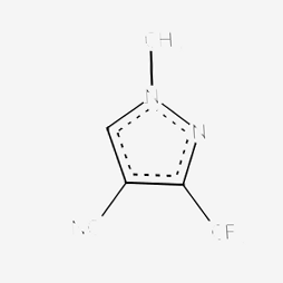 Cn1cc(C#N)c(C(F)(F)F)n1